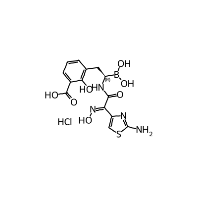 Cl.Nc1nc(C(=NO)C(=O)N[C@@H](Cc2cccc(C(=O)O)c2O)B(O)O)cs1